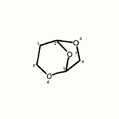 C1CC2OCC(O1)O2